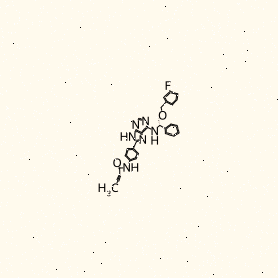 CC#CC(=O)Nc1ccc(-c2nc3c(N[C@H](COCc4cccc(F)c4)c4ccccc4)ncnc3[nH]2)cc1